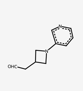 O=CCC1CN(c2cccnc2)C1